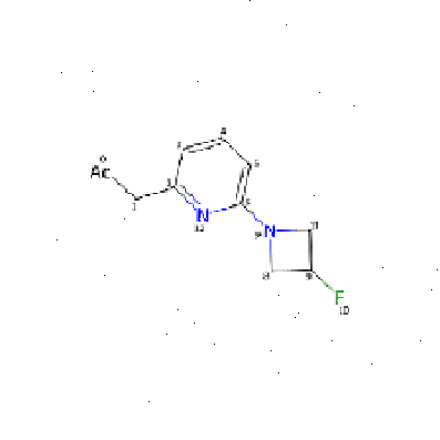 CC(=O)Cc1cccc(N2CC(F)C2)n1